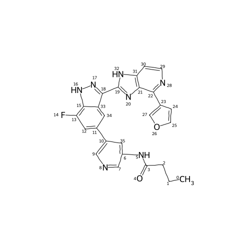 CCCC(=O)Nc1cncc(-c2cc(F)c3[nH]nc(-c4nc5c(-c6ccoc6)nccc5[nH]4)c3c2)c1